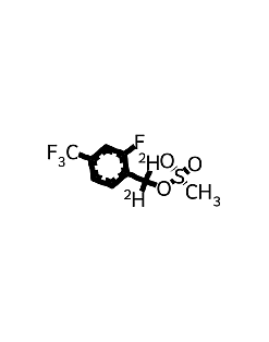 [2H]C([2H])(OS(C)(=O)=O)c1ccc(C(F)(F)F)cc1F